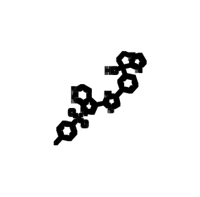 Cc1ccc(S(=O)(=O)n2cc(-c3nc(-c4cccc(C5(O)CCn6ccnc65)c4)cs3)c3ccnnc32)cc1